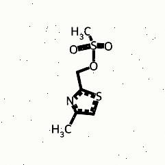 Cc1csc(COS(C)(=O)=O)n1